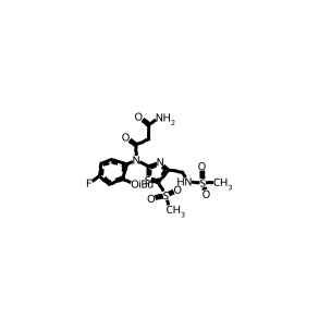 CC(C)COc1cc(F)ccc1N(C(=O)CC(N)=O)c1nc(CNS(C)(=O)=O)c(S(C)(=O)=O)s1